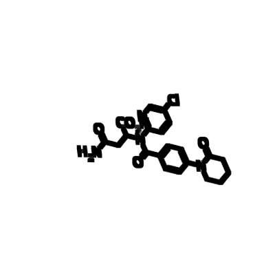 NC(=O)CC(C(=O)O)N(C(=O)c1ccc(N2CCCCC2=O)cc1)c1ccc(Cl)cn1